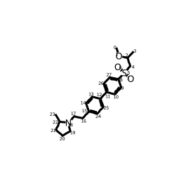 COC(C)CS(=O)(=O)c1ccc(-c2ccc(CCN3CCCC3C)cc2)cc1